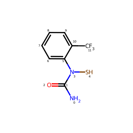 NC(=O)N(S)c1ccccc1C(F)(F)F